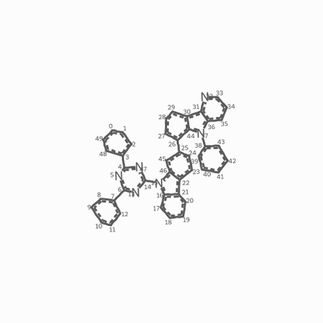 c1ccc(-c2nc(-c3ccccc3)nc(-n3c4ccccc4c4ccc(-c5cccc6c7ncccc7n(-c7ccccc7)c56)cc43)n2)cc1